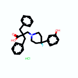 Cl.O=C(O)C(Cc1ccccc1)(Cc1ccccc1)CN1CCC(F)(c2cccc(O)c2)CC1